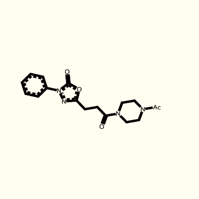 CC(=O)N1CCN(C(=O)CCc2nn(-c3ccccc3)c(=O)o2)CC1